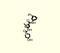 CC(C)c1cccc(NC(=O)c2cc(NC(=O)N3CCC(O)CC3)nn2C)c1